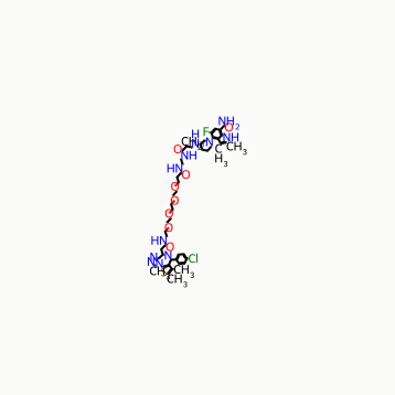 C=C(CN[C@H]1CCCN(c2c(F)cc(C(N)=O)c3[nH]c(C)c(C)c23)C1)C(=O)NCCNC(=O)CCOCCOCCOCCOCCNC(=O)CC1N=C(c2ccc(Cl)cc2)c2c(sc(C)c2C)-n2c(C)nnc21